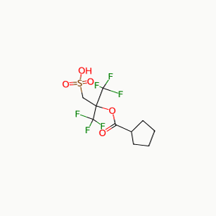 O=C(OC(CS(=O)(=O)O)(C(F)(F)F)C(F)(F)F)C1CCCC1